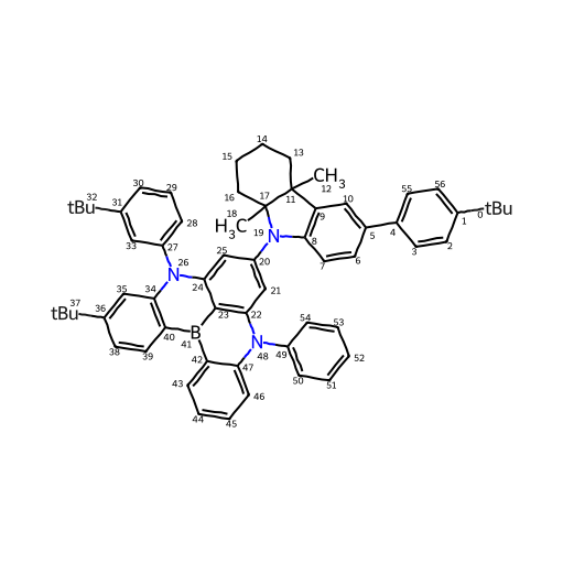 CC(C)(C)c1ccc(-c2ccc3c(c2)C2(C)CCCCC2(C)N3c2cc3c4c(c2)N(c2cccc(C(C)(C)C)c2)c2cc(C(C)(C)C)ccc2B4c2ccccc2N3c2ccccc2)cc1